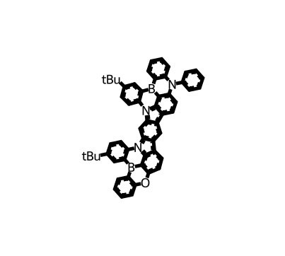 CC(C)(C)c1ccc2c(c1)B1c3ccccc3Oc3ccc4c5cc6c7ccc8c9c7n(c6cc5n-2c4c31)-c1ccc(C(C)(C)C)cc1B9c1ccccc1N8c1ccccc1